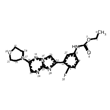 CCOC(=O)Nc1ccc(F)c(-c2cn3nc(N4CCOCC4)cnc3n2)c1